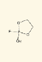 O[P]1(F)OCCO1